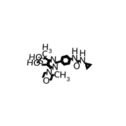 CC1COCCN1c1nc(-c2ccc(NC(=O)NC3CC3)cc2)nc2c1CS(O)(O)C2C